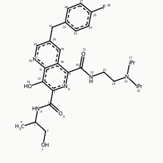 CC(CO)NC(=O)c1nc(C(=O)NCCN(C(C)C)C(C)C)c2cc(Cc3ccc(F)cc3)cnc2c1O